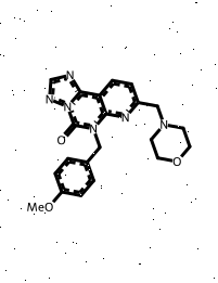 COc1ccc(Cn2c(=O)n3ncnc3c3ccc(CN4CCOCC4)nc32)cc1